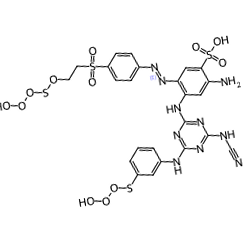 N#CNc1nc(Nc2cccc(SOOO)c2)nc(Nc2cc(N)c(S(=O)(=O)O)cc2/N=N/c2ccc(S(=O)(=O)CCOSOOO)cc2)n1